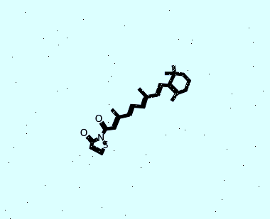 CC1=C(/C=C/C(C)=C/C=C/C(C)=C/C(=O)n2sccc2=O)C(C)(C)CCC1